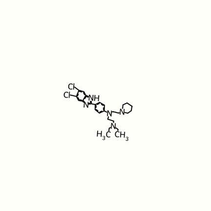 CCN(CC)CCN(CCN1CCCCC1)c1ccc(-c2nc3cc(Cl)c(Cl)cc3[nH]2)cc1